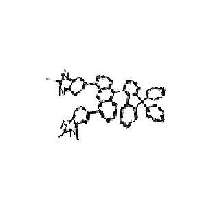 Cc1nc2ccc(-c3cccc4c(-c5cccc6c5-c5ccccc5C6(c5ccccc5)c5ccccc5)c5cccc(-c6ccc7nc(C)n(C)c7c6)c5cc34)cc2n1C